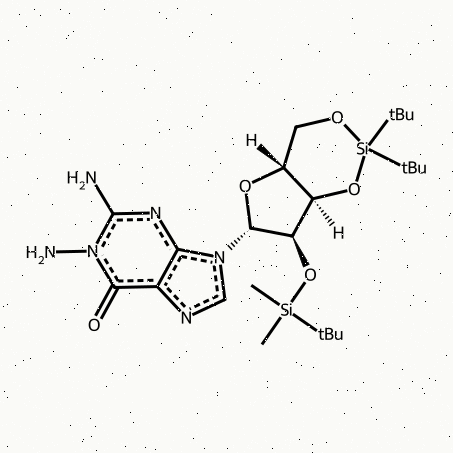 CC(C)(C)[Si](C)(C)O[C@@H]1[C@@H]2O[Si](C(C)(C)C)(C(C)(C)C)OC[C@H]2O[C@H]1n1cnc2c(=O)n(N)c(N)nc21